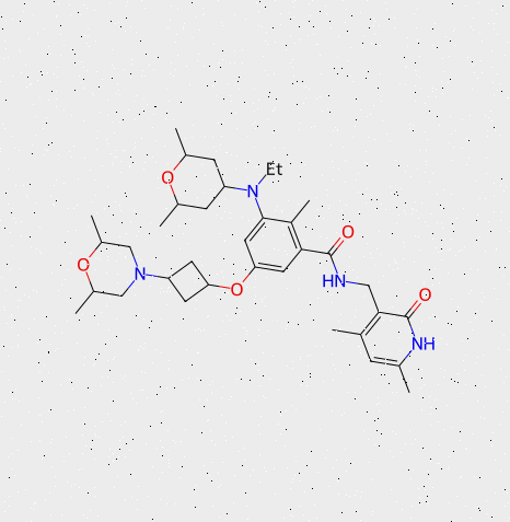 CCN(c1cc(OC2CC(N3CC(C)OC(C)C3)C2)cc(C(=O)NCc2c(C)cc(C)[nH]c2=O)c1C)C1CC(C)OC(C)C1